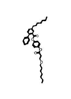 CCCCCCCOCCC(=O)Oc1ccc(OC(=O)c2cc(CCCCCCC)ccc2-c2ccccc2)cc1